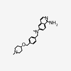 CN1CCC(OCc2ccc(CN(C)c3ccc4c(N)nccc4c3)cc2)CC1